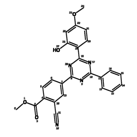 COC(=O)c1ccc(-c2nc(-c3ccccc3)nc(-c3ccc(OC)cc3O)n2)cc1C#N